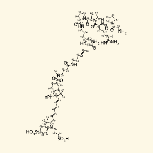 CCC[N+]1=C(/C=C/C=C/C=C/C=C2/N(CCCS(=O)(=O)O)c3ccc(S(=O)(=O)O)cc3C2(C)C)C(C)(C)c2cc(S(=O)(=O)N(C)CCCC(=O)NCCCSSC[C@H](NC(=O)CCCNC(=O)[C@@H]3CCCN3C(=O)[C@@H]3CCCN3C(=O)[C@H](CCCNC(=N)N)NC(=O)[C@@H]3CCCN3C(=O)CN)C(N)=O)ccc21